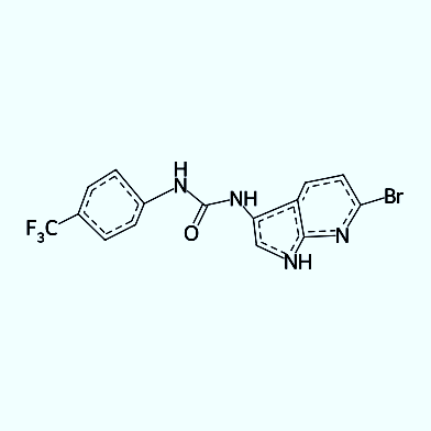 O=C(Nc1ccc(C(F)(F)F)cc1)Nc1c[nH]c2nc(Br)ccc12